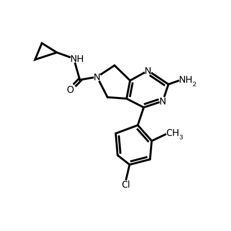 Cc1cc(Cl)ccc1-c1nc(N)nc2c1CN(C(=O)NC1CC1)C2